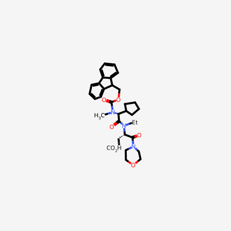 CCN(C(=O)[C@H](C1CCCC1)N(C)C(=O)OCC1c2ccccc2-c2ccccc21)[C@@H](CC(=O)O)C(=O)N1CCOCC1